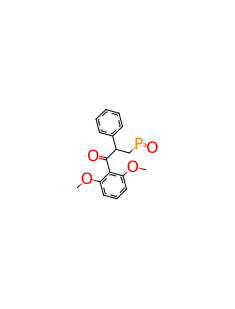 COc1cccc(OC)c1C(=O)C(CP=O)c1ccccc1